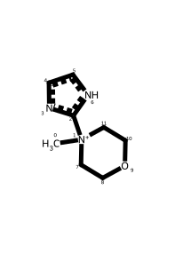 C[N+]1(c2ncc[nH]2)CCOCC1